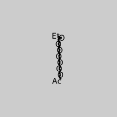 CCC(=O)CCOCCOCCOCCOCCOCCOCCC(C)=O